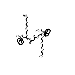 O=C(CC(=O)OCC(OCCOCCOCCO)N(C(=O)O)C12CC3CC(CC(C3)C1)C2)OCC(OCCOCCOCCO)N(C(=O)O)C12CC3CC(CC(C3)C1)C2